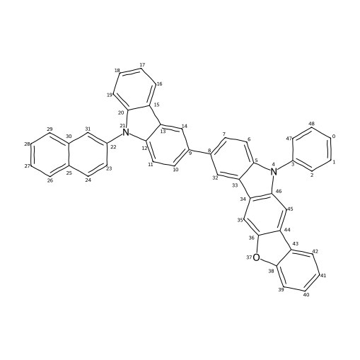 c1ccc(-n2c3ccc(-c4ccc5c(c4)c4ccccc4n5-c4ccc5ccccc5c4)cc3c3cc4oc5ccccc5c4cc32)cc1